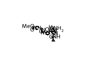 COC(=O)N1CCN(Cc2nc(-c3cccc(Nc4cc(NC(=O)C5CC5)nnc4C(N)=O)c3OC)no2)CC1